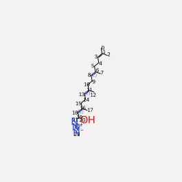 CC(C)=CCC/C(C)=C/CC/C(C)=C/CC/C(C)=C/C(O)N=[N+]=[N-]